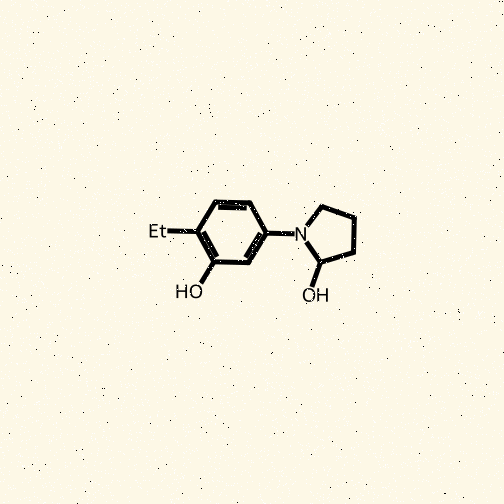 CCc1ccc(N2CCCC2O)cc1O